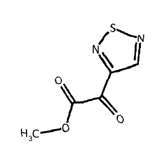 COC(=O)C(=O)c1cnsn1